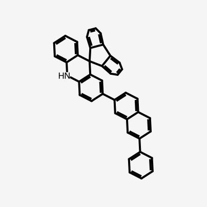 c1ccc(-c2ccc3ccc(-c4ccc5c(c4)C4(c6ccccc6N5)c5ccccc5-c5ccccc54)cc3c2)cc1